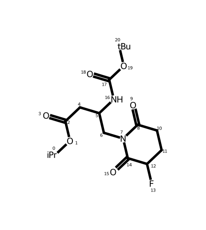 CC(C)OC(=O)CC(CN1C(=O)CCC(F)C1=O)NC(=O)OC(C)(C)C